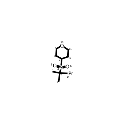 CC(C)C(C)(C)S(=O)(=O)C1CCOCC1